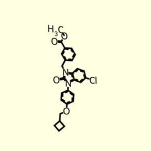 COC(=O)c1cccc(Cn2c(=O)n(-c3ccc(OCC4CCC4)cc3)c3cc(Cl)ccc32)c1